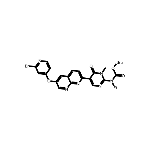 CCN(C(=O)OC(C)(C)C)c1ncc(-c2ccc3cc(Oc4ccnc(Br)c4)cnc3n2)c(=O)n1C